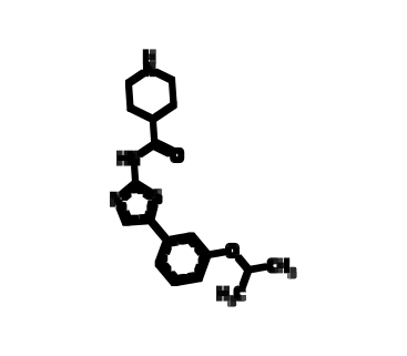 CC(C)Oc1cccc(-c2cnc(NC(=O)C3CCNCC3)s2)c1